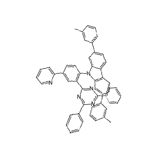 Cc1cccc(-c2ccc3c4ccc(-c5cccc(C)c5)cc4n(-c4ccc(-c5ccccn5)cc4-c4nc(-c5ccccc5)nc(-c5ccccc5)n4)c3c2)c1